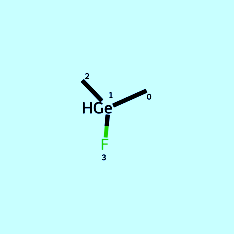 [CH3][GeH]([CH3])[F]